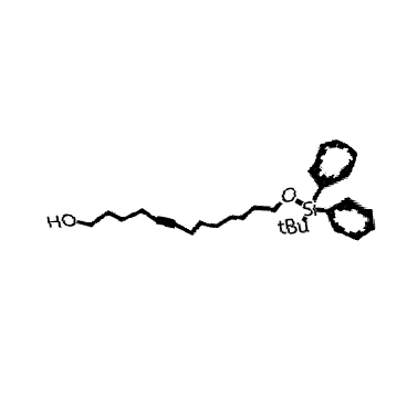 CC(C)(C)[Si](OCCCCCCCC#CCCCCO)(c1ccccc1)c1ccccc1